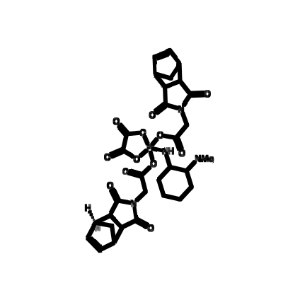 CNC1CCCCC1NP1(OC(=O)CN2C(=O)C3C4C=CC(C4)C3C2=O)(OC(=O)CN2C(=O)C3C4C=C[C@H](C4)C3C2=O)OC(=O)C(=O)O1